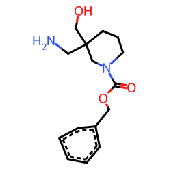 NCC1(CO)CCCN(C(=O)OCc2ccccc2)C1